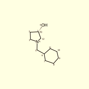 O[C@H]1CCN(CC2CCCCC2)C1